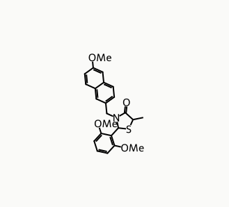 COc1ccc2cc(CN3C(=O)C(C)SC3c3c(OC)cccc3OC)ccc2c1